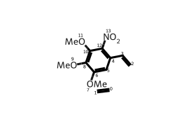 C=C.C=Cc1cc(OC)c(OC)c(OC)c1[N+](=O)[O-]